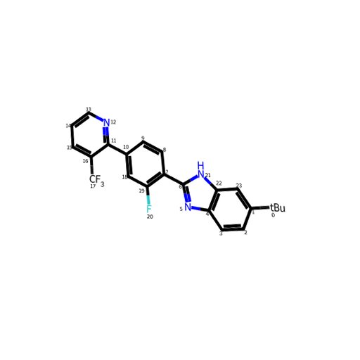 CC(C)(C)c1ccc2nc(-c3ccc(-c4ncccc4C(F)(F)F)cc3F)[nH]c2c1